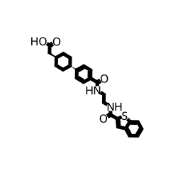 O=C(O)C[C@H]1CC[C@H](c2ccc(C(=O)NCCNC(=O)c3cc4ccccc4s3)cc2)CC1